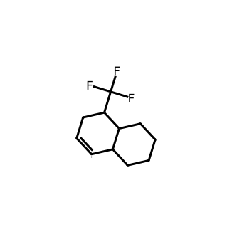 FC(F)(F)C1CC=[C]C2CCCCC21